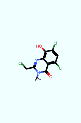 CCCn1c(CCl)nc2c(O)c(Cl)cc(Cl)c2c1=O